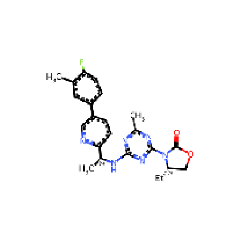 CC[C@H]1COC(=O)N1c1nc(C)nc(N[C@@H](C)c2ccc(-c3ccc(F)c(C)c3)cn2)n1